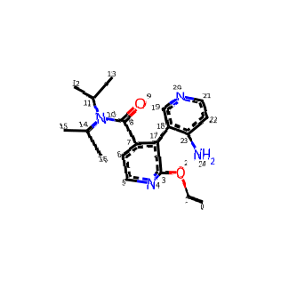 CCOc1nccc(C(=O)N(C(C)C)C(C)C)c1-c1cnccc1N